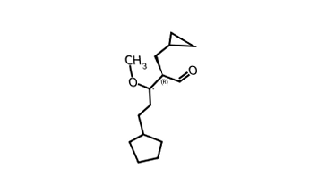 CO[C](CCC1CCCC1)[C@H](C=O)CC1CC1